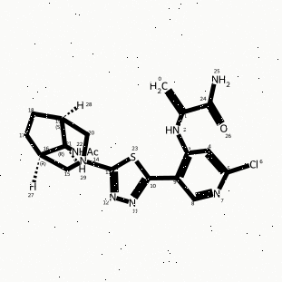 C=C(Nc1cc(Cl)ncc1-c1nnc(N2C[C@H]3CC[C@@H](C2)[C@H]3NC(C)=O)s1)C(N)=O